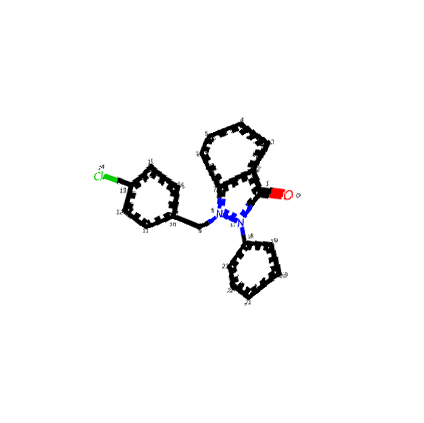 O=c1c2ccccc2n(Cc2ccc(Cl)cc2)n1-c1ccccc1